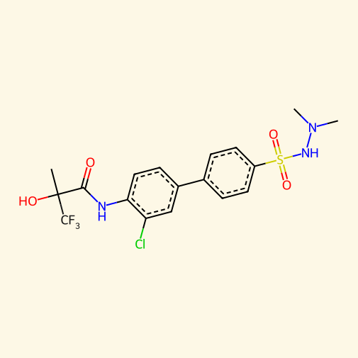 CN(C)NS(=O)(=O)c1ccc(-c2ccc(NC(=O)C(C)(O)C(F)(F)F)c(Cl)c2)cc1